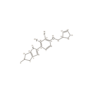 CC1Cc2cc(-c3ccc(OCC4C=CCC4)c(F)c3F)sc2C1